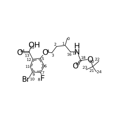 CC(CCOc1cc(F)c(Br)cc1C(=O)O)CNC(=O)OC(C)(C)C